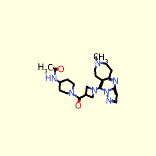 CC(=O)NC1CCN(C(=O)C2CN(c3c4c(nc5ccnn35)CCN(C)CC4)C2)CC1